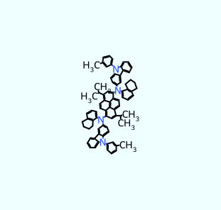 Cc1cccc(-n2c3ccccc3c3cc(N(c4cccc5c4CCCC5)c4cc(C(C)C)c5ccc6c(N(c7ccc8c(c7)c7ccccc7n8-c7cccc(C)c7)c7cccc8c7CCCC8)cc(C(C)C)c7ccc4c5c76)ccc32)c1